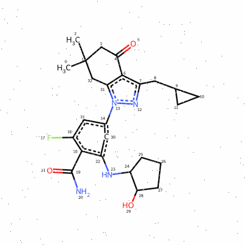 CC1(C)CC(=O)c2c(CC3CC3)nn(-c3cc(F)c(C(N)=O)c(NC4CCCC4O)c3)c2C1